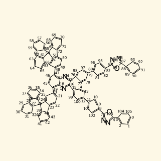 c1ccc(-c2nnc(-c3ccc(-c4ccc(-c5nc6c(-c7ccc8c(c7)C(c7ccccc7)(c7ccccc7)c7ccccc7-8)ccc(-c7ccc8c(c7)C(c7ccccc7)(c7ccccc7)c7ccccc7-8)c6nc5-c5ccc(-c6ccc(-c7nnc(-c8ccccc8)o7)cc6)cc5)cc4)cc3)o2)cc1